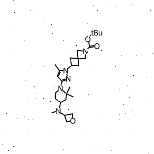 Cc1cc(N2CCC(N(C)C3COC3)CC2(C)C)nn1C1CC2(C1)CN(C(=O)OC(C)(C)C)C2